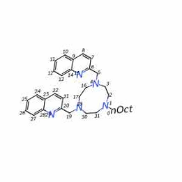 CCCCCCCCN1CCN(Cc2ccc3ccccc3n2)CCN(Cc2ccc3ccccc3n2)CC1